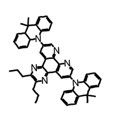 CCCc1nc2c3cc(N4c5ccccc5C(C)(C)c5ccccc54)cnc3c3ncc(N4c5ccccc5C(C)(C)C5C=CC=CC54)cc3c2nc1CCC